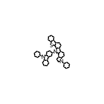 c1ccc(-n2ccc3c2ccc2c4ccc5c6ccccc6sc5c4n(-c4ccc5c(c4)c4ccccc4n5-c4ccccc4)c23)cc1